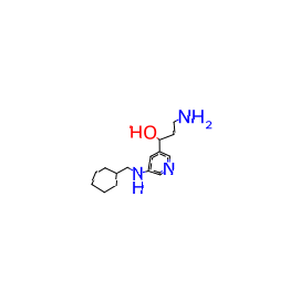 NCCC(O)c1cncc(NCC2CCCCC2)c1